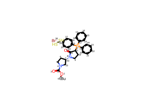 CC(C)(C)OC(=O)N1CC[C@H](N2CCC([P+](c3ccccc3)(c3ccccc3)c3ccccc3)C2=O)C1.SS.[Br-]